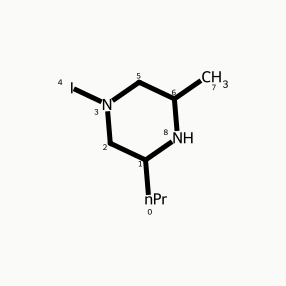 CCCC1CN(I)CC(C)N1